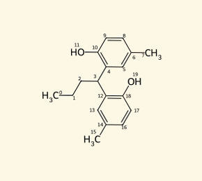 CCCC(c1cc(C)ccc1O)c1cc(C)ccc1O